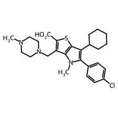 CN1CCN(Cc2c(C(=O)O)sc3c(C4CCCCC4)c(-c4ccc(Cl)cc4)n(C)c23)CC1